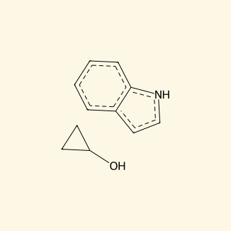 OC1CC1.c1ccc2[nH]ccc2c1